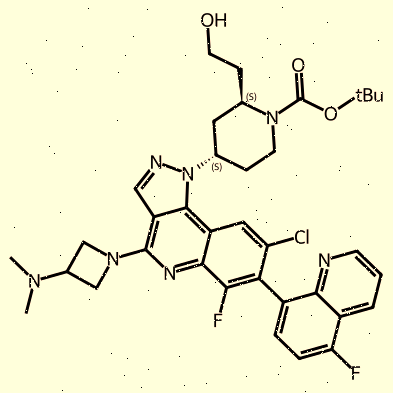 CN(C)C1CN(c2nc3c(F)c(-c4ccc(F)c5cccnc45)c(Cl)cc3c3c2cnn3[C@H]2CCN(C(=O)OC(C)(C)C)[C@H](CCO)C2)C1